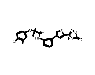 CC(C)(Oc1ccc(Cl)c(F)c1)C(=O)Nc1cccc(-c2csc(-c3noc(=O)[nH]3)c2)c1